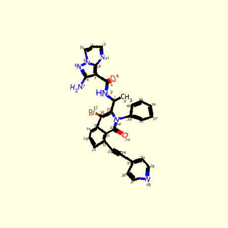 CC(NC(=O)c1c(N)nn2cccnc12)c1c(Br)c2cccc(C#Cc3ccncc3)c2c(=O)n1-c1ccccc1